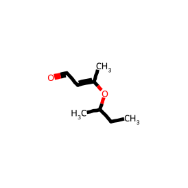 CCC(C)OC(C)=CC=O